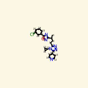 CC(CCc1nnc(-c2ccncc2)n1C1CC1)c1noc(-c2cccc(Cl)c2)n1